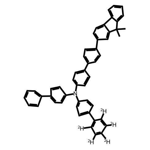 [2H]c1c([2H])c([2H])c(-c2ccc(N(c3ccc(-c4ccccc4)cc3)c3ccc(-c4ccc(-c5ccc6c(c5)C(C)(C)c5ccccc5-6)cc4)cc3)cc2)c([2H])c1[2H]